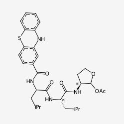 CC(=O)OC1OCC[C@@H]1NC(=O)[C@H](CC(C)C)NC(=O)C(CC(C)C)NC(=O)c1ccc2c(c1)Nc1ccccc1S2